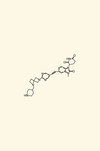 Cn1c(=O)n(C2CCC(=O)NC2=O)c2ccc(C#Cc3cnc(N4CC5(CCN5CC5CCNCC5)C4)nc3)cc21